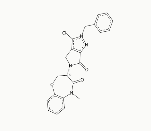 CN1C(=O)[C@@H](N2Cc3c(nn(Cc4ccccc4)c3Cl)C2=O)COc2ccccc21